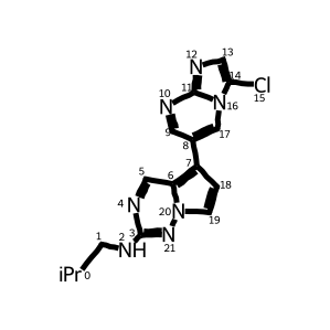 CC(C)CNc1ncc2c(-c3cnc4ncc(Cl)n4c3)ccn2n1